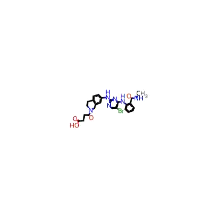 CNC(=O)c1ccccc1Nc1nc(Nc2ccc3c(c2)CN(C(=O)CCC(=O)O)CC3)ncc1Br